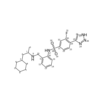 CC(CC1CCCCC1)NCc1ccccc1NS(=O)(=O)c1ccc(-c2c[nH]nn2)c(F)c1